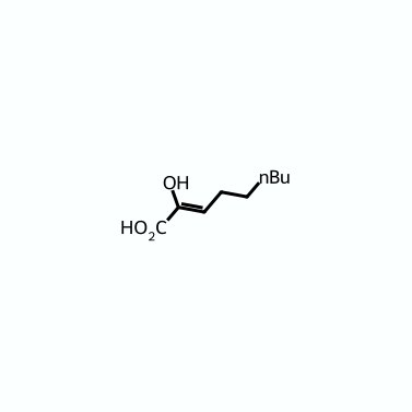 CCCCCCC=C(O)C(=O)O